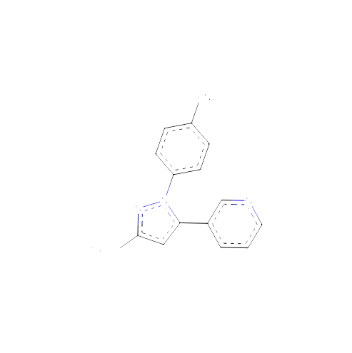 CCOC(=O)c1cc(-c2cccnc2)n(-c2ccc(C#N)cc2)n1